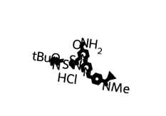 CNC(c1ccc(CN2CCC(N3CCC(C(N)=O)CC3c3ncc(SCc4ncc(C(C)(C)C)o4)s3)CC2)cc1)C1CC1.Cl